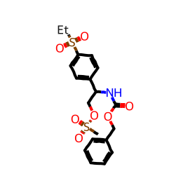 CCS(=O)(=O)c1ccc(C(COS(C)(=O)=O)NC(=O)OCc2ccccc2)cc1